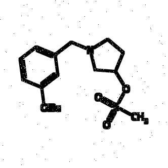 CC(C)COc1cccc(CN2CCC(OS(C)(=O)=O)C2)c1